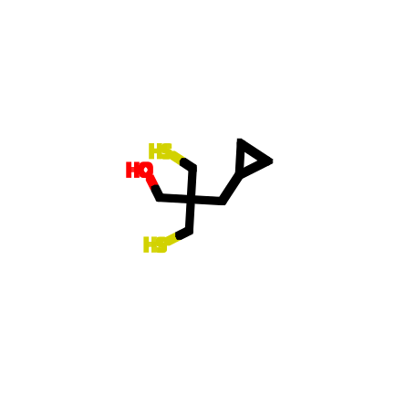 OCC(CS)(CS)CC1CC1